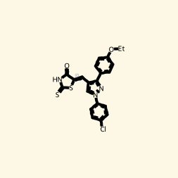 CCOc1ccc(-c2nn(-c3ccc(Cl)cc3)cc2/C=C2\SC(=S)NC2=O)cc1